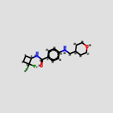 O=C(NC1CCC1(F)F)c1ccc(NCC2CCOCC2)cc1